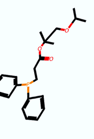 CC(C)OCC(C)(C)OC(=O)CCP(c1ccccc1)c1ccccc1